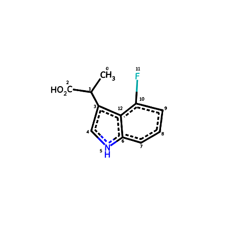 CC(C(=O)O)c1c[nH]c2cccc(F)c12